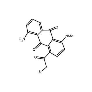 CNc1ccc(C(=O)CBr)c2c1C(=O)c1cccc([N+](=O)[O-])c1C2=O